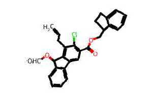 C=CCc1c(Cl)c(C(=O)OCC2CCc3ccccc32)cc2c1C(O[C]=O)c1ccccc1-2